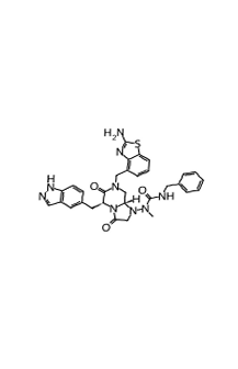 CN(C(=O)NCc1ccccc1)N1CC(=O)N2[C@@H](Cc3ccc4[nH]ncc4c3)C(=O)N(Cc3cccc4sc(N)nc34)C[C@@H]21